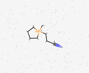 C[PH]1(CCC#N)CCCC1